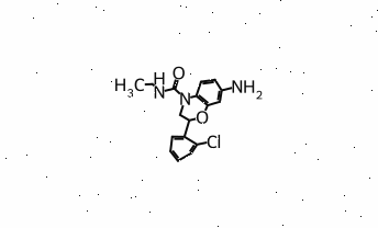 CCNC(=O)N1CC(c2ccccc2Cl)Oc2cc(N)ccc21